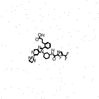 O=C(O)CCc1ccccc1-c1nc2cnc(-n3nccn3)cc2n1[C@@H]1CCC[C@H](NC(=O)c2ncc(C(F)F)s2)C1